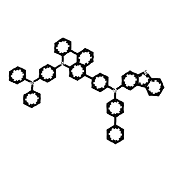 c1ccc(-c2ccc(N(c3ccc(-c4ccc5c6c(cccc46)-c4ccccc4N5c4ccc(N(c5ccccc5)c5ccccc5)cc4)cc3)c3ccc4sc5ccccc5c4c3)cc2)cc1